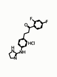 Cl.O=C(CCc1ccc(NC2=NCCN2)cc1)c1ccc(F)cc1F